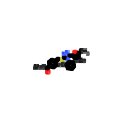 COC(=O)c1ccc(CSc2nnc(-c3ccc(C)o3)n2-c2c(OC)cccc2OC)cc1